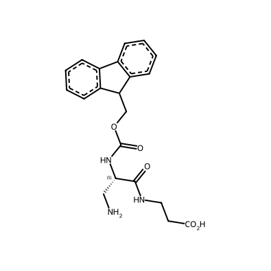 NC[C@H](NC(=O)OCC1c2ccccc2-c2ccccc21)C(=O)NCCC(=O)O